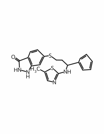 Cc1cnc(NC(CCSc2ccc3c(=O)[nH][nH]c3c2)c2ccccc2)s1